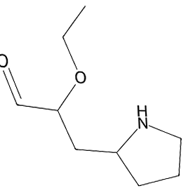 CCOC(C=O)CC1CCCN1